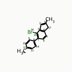 CC1=Cc2c(ccc(-c3ccc(C)cc3)c2Br)C1